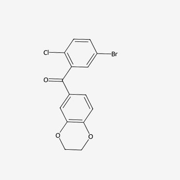 O=C(c1ccc2c(c1)OCCO2)c1cc(Br)ccc1Cl